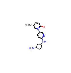 COc1ccc(=O)n(-c2ccc(N[C@H]3CC[C@H](N)C3)nc2)c1